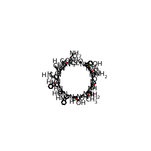 CCCC[C@H]1C(=O)N(C)[C@@H](CCCC)C(=O)N[C@@H](CC(C)C)C(=O)N[C@H](C(=O)NCC(N)=O)CSCC(=O)N[C@@H](Cc2ccc(O)cc2)C(=O)N(C)[C@@H](C)C(=O)N[C@@H](CC(N)=O)C(=O)N2CCC[C@H]2C(=O)N[C@@H](CN)C(=O)N[C@@H](CC(C)C)C(=O)N2C[C@H](O)C[C@H]2C(=O)N[C@@H](Cc2c[nH]c3ccccc23)C(=O)N[C@@H](CO)C(=O)N[C@@H](Cc2c[nH]c3ccccc23)C(=O)N1C